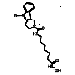 CCn1c2c(c3ccccc31)CN(C(=O)NCCCCCCC(=O)NO)CC2